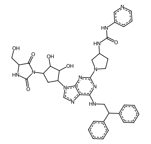 O=C(Nc1cccnc1)NC1CCN(c2nc(NCC(c3ccccc3)c3ccccc3)c3ncn(C4CC(N5C(=O)NC(CO)C5=O)C(O)C4O)c3n2)C1